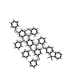 CC1(C)c2ccccc2-c2ccc(N3c4ccccc4B4c5cc6c(cc5N(c5ccccc5)c5cc(Oc7ccccc7)cc3c54)N(c3ccccc3)c3cc(Oc4ccccc4)cc4c3B6c3ccccc3S4)cc21